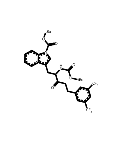 CC(C)(C)OC(=O)NC(Cc1cn(C(=O)OC(C)(C)C)c2ccccc12)C(=O)CCc1cc(C(F)(F)F)cc(C(F)(F)F)c1